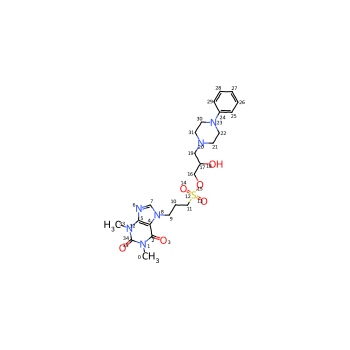 Cn1c(=O)c2c(ncn2CCCS(=O)(=O)OCC(O)CN2CCN(c3ccccc3)CC2)n(C)c1=O